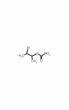 CCC(C)C(C)SC(N)=O